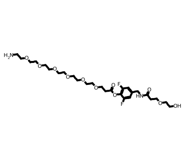 NCCOCCOCCOCCOCCOCCOCCC(=O)Oc1c(F)cc(CNC(=O)CCOCCO)cc1F